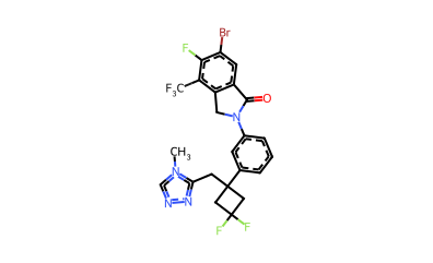 Cn1cnnc1CC1(c2cccc(N3Cc4c(cc(Br)c(F)c4C(F)(F)F)C3=O)c2)CC(F)(F)C1